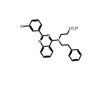 O=C(O)CCN(CCc1ccccc1)c1nc(-c2cccc(Cl)c2)nc2ccccc12